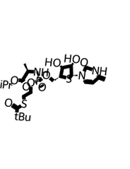 C=C1C=CN([C@@H]2S[C@H](CO[P@@](=O)(N[C@H](C)C(=O)OC(C)C)OCCSC(=O)C(C)(C)C)[C@@H](O)[C@H]2O)C(=O)N1